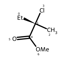 CC[C@](C)(Cl)C(=O)OC